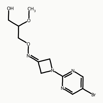 COC(CO)CON=C1CN(c2ncc(Br)cn2)C1